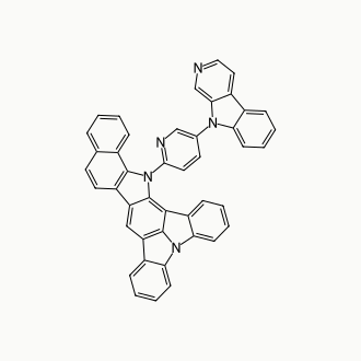 c1ccc2c(c1)ccc1c3cc4c5ccccc5n5c6ccccc6c(c3n(-c3ccc(-n6c7ccccc7c7ccncc76)cn3)c21)c45